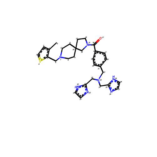 Cc1ccsc1CN1CCC2(CC1)CCN(C(=O)c1ccc(CN(Cc3ncc[nH]3)Cc3ncc[nH]3)cc1)C2